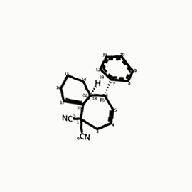 N#CC1(C#N)CC=C[C@@H](c2ccccc2)[C@@H]2CCCC=C21